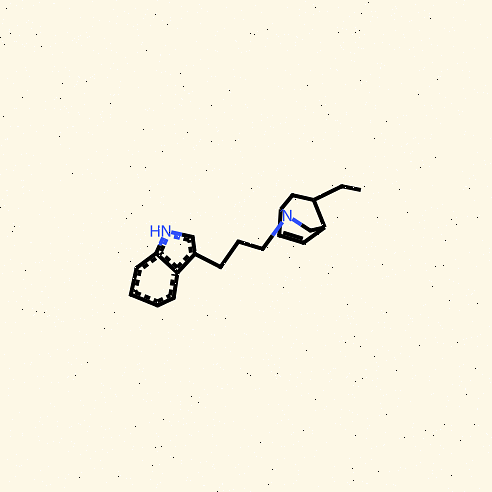 CCC1CC2C=CC1CN2CCCc1c[nH]c2ccccc12